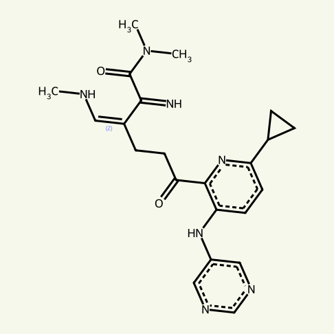 CN/C=C(/CCC(=O)c1nc(C2CC2)ccc1Nc1cncnc1)C(=N)C(=O)N(C)C